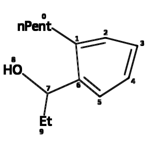 CCCCCc1ccccc1C(O)CC